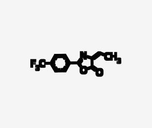 C/C=C1/N=C(c2ccc(C(F)(F)F)cc2)OC1=O